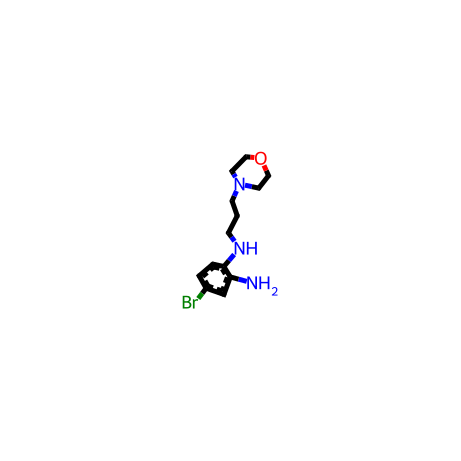 Nc1cc(Br)ccc1NCCCN1CCOCC1